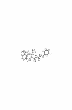 CC(c1c[nH]c2ccccc12)[C@H](N)C(=O)OC(=O)OCc1ccccc1